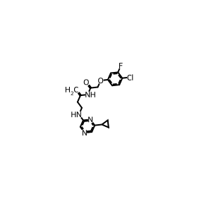 C=C(CCNc1cncc(C2CC2)n1)NC(=O)COc1ccc(Cl)c(F)c1